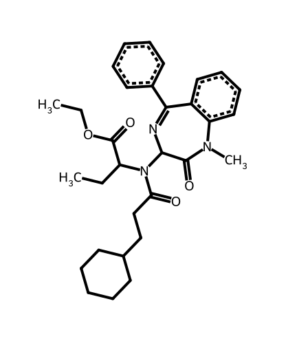 CCOC(=O)C(CC)N(C(=O)CCC1CCCCC1)C1N=C(c2ccccc2)c2ccccc2N(C)C1=O